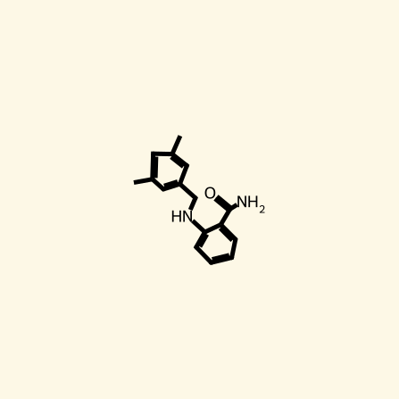 Cc1cc(C)cc(CNc2ccccc2C(N)=O)c1